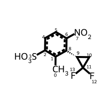 Cc1c(S(=O)(=O)O)ccc([N+](=O)[O-])c1[C@@H]1CC1(F)F